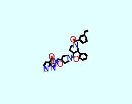 C=Cc1cccc(C(=O)N2CCC(C(=O)N3CCC(O)(Cn4cnc5c(ccn5C)c4=O)CC3)C(c3ccccc3)C2)c1